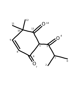 CC(C)C(=O)C1C(=O)C=CC(C)(C)C1=O